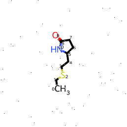 CCSCCC1CCC(=O)N1